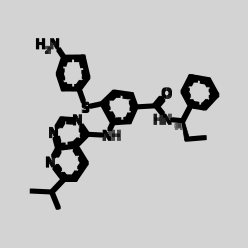 CC[C@@H](NC(=O)c1ccc(Sc2ccc(N)cc2)c(Nc2ncnc3nc(C(C)C)ccc23)c1)c1ccccc1